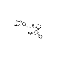 COc1ccc(CCNC(=O)CC2CCCCCN2c2cc(C)nc(-n3ccnc3)n2)cc1OC